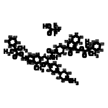 Cc1cc(CC(NC(=O)N2CCC(c3cc4ccccc4n(COC(=O)C(C)(C)c4ccccc4)c3=O)CC2)C(=O)N2CCN(C3CCN(C)CC3)CC2)cc2cn(COC(=O)C(C)(C)c3ccccc3)nc12.O=C(O)C(F)(F)F